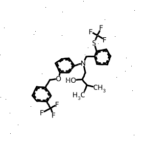 CC(C)C(O)CN(Cc1ccccc1SC(F)(F)F)c1cccc(OCc2cccc(C(F)(F)F)c2)c1